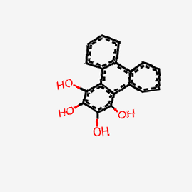 Oc1c(O)c(O)c2c3ccccc3c3ccccc3c2c1O